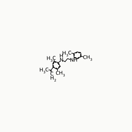 C=C(C)c1cc(C)c(NCCNc2cc(C)ccc2C)cc1C